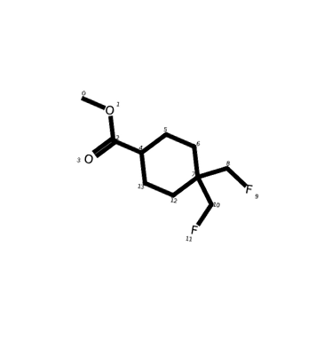 COC(=O)C1CCC(CF)(CF)CC1